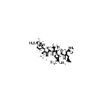 CC(C)N1CCN(C[C@@H](NC(=O)N[C@H](C(=O)N2CC3C([C@H]2C(=O)NC(CC2CC2)C(=O)C(N)=O)C3(C)C)C(C)(C)C)C(C)(C)C)S1(=O)=O